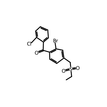 CCS(=O)(=O)Cc1ccc(C(=O)c2ccccc2Cl)c(Br)c1